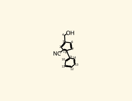 N#Cc1cc(CO)ccc1-c1ccccc1